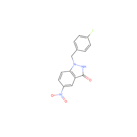 O=c1[nH]n(Cc2ccc(F)cc2)c2ccc([N+](=O)[O-])cc12